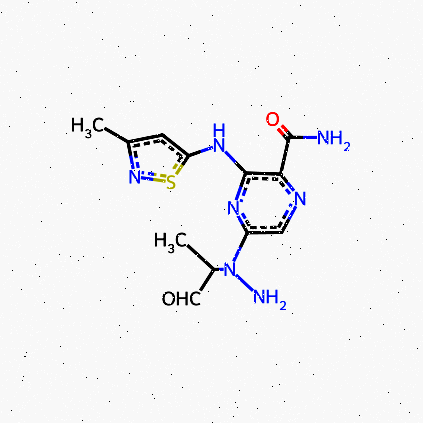 Cc1cc(Nc2nc(N(N)C(C)C=O)cnc2C(N)=O)sn1